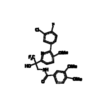 COc1ccc(C(=O)NCC(O)(c2ccc(OC)c(-c3ccc(F)c(Cl)c3)n2)C(F)(F)F)cc1OC